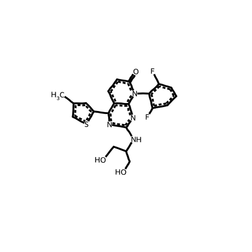 Cc1csc(-c2nc(NC(CO)CO)nc3c2ccc(=O)n3-c2c(F)cccc2F)c1